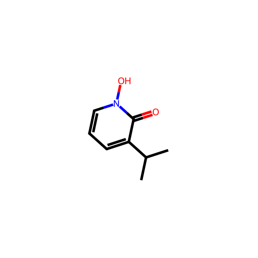 CC(C)c1cccn(O)c1=O